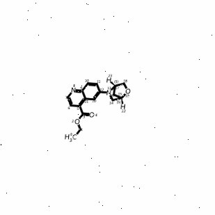 CCOC(=O)c1ccnc2ccc(N3C[C@@H]4C[C@H]3CO4)cc12